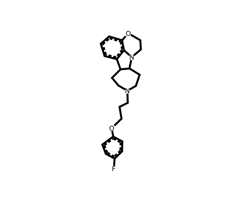 Fc1ccc(OCCCN2CCC3c4cccc5c4N(CCO5)C3CC2)cc1